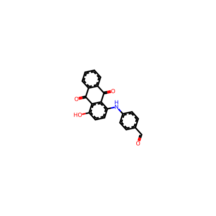 O=Cc1ccc(Nc2ccc(O)c3c2C(=O)c2ccccc2C3=O)cc1